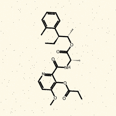 CCC(=O)Oc1c(OC)ccnc1C(=O)N[C@@H](C)C(=O)O[C@@H](C)[C@@H](CC)c1ccccc1C